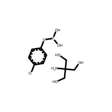 NC(CO)(CO)CO.OP(O)Oc1ccc(Cl)cc1